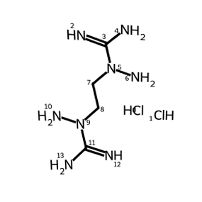 Cl.Cl.N=C(N)N(N)CCN(N)C(=N)N